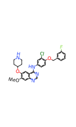 COc1cc2ncnc(Nc3ccc(OCc4cccc(F)c4)c(Cl)c3)c2cc1OC1CCNCC1